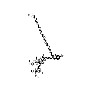 CCCOCCOCCOCCOCCOCCOCCOCCOCCC(=O)N(CCCC[C@H](NC(=O)N[C@@H](CCC(=O)OC(C)(C)C)C(=O)OC(C)(C)C)C(C)=O)Cc1ccc(Br)cc1